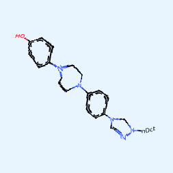 CCCCCCCCN1CN(c2ccc(N3CCN(c4ccc(O)cc4)CC3)cc2)C=N1